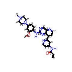 C=CC(=O)Nc1ccnc(-c2ccnc3cnc(Nc4ccc(N5CCN(C)CC5)cc4OC)nc23)c1